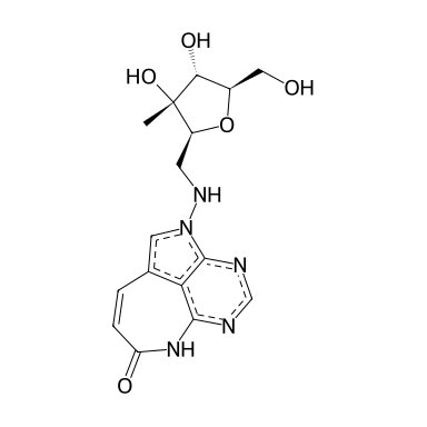 C[C@]1(O)[C@H](CNn2cc3c4c(ncnc42)NC(=O)C=C3)O[C@H](CO)[C@H]1O